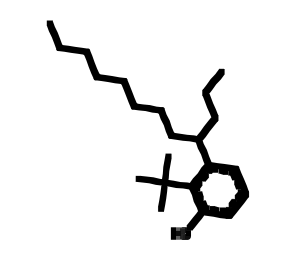 CCCCCCCCC(CCC)c1cccc(O)c1C(C)(C)C